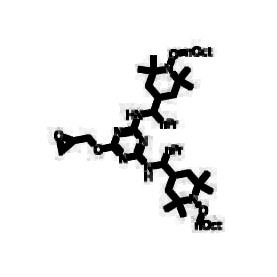 CCCCCCCCON1C(C)(C)CC(C(CCC)Nc2nc(NC(CCC)C3CC(C)(C)N(OCCCCCCCC)C(C)(C)C3)nc(OCC3CO3)n2)CC1(C)C